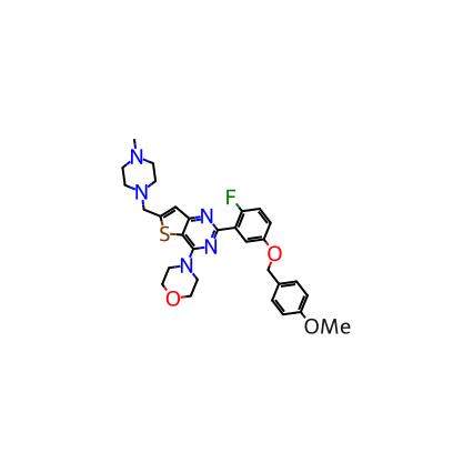 COc1ccc(COc2ccc(F)c(-c3nc(N4CCOCC4)c4sc(CN5CCN(C)CC5)cc4n3)c2)cc1